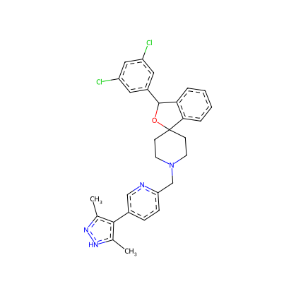 Cc1n[nH]c(C)c1-c1ccc(CN2CCC3(CC2)OC(c2cc(Cl)cc(Cl)c2)c2ccccc23)nc1